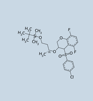 C[C@H](CCO[Si](C)(C)C(C)(C)C)OC1COc2c(F)ccc(F)c2C1S(=O)(=O)c1ccc(Cl)cc1